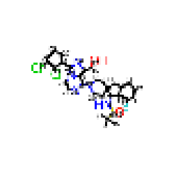 CC(C)(C)[S@@+]([O-])NC1c2c(F)cccc2CC12CCN(c1nccn3c(-c4cccc(Cl)c4Cl)nc(CO)c13)CC2